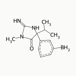 Bc1cccc(C2(C(C)C)NC(=N)N(C)C2=O)c1